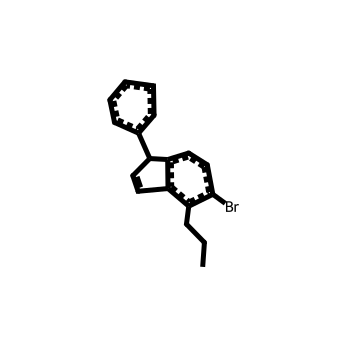 CCCc1c(Br)ccc2c1C=CC2c1ccccc1